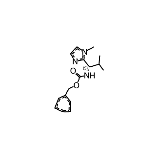 CC(C)[C@H](NC(=O)OCc1ccccc1)c1nccn1C